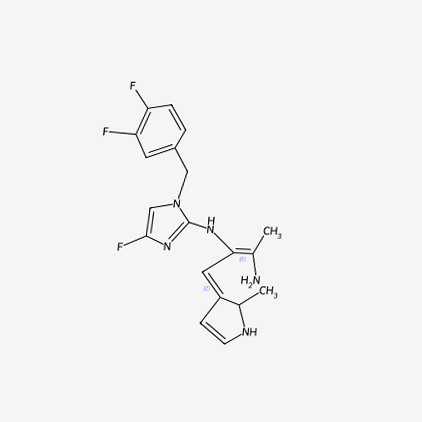 C/C(N)=C(/C=C1/C=CNC1C)Nc1nc(F)cn1Cc1ccc(F)c(F)c1